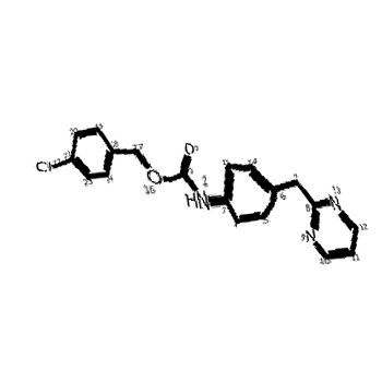 O=C(Nc1ccc(Cc2ncccn2)cc1)OCc1ccc(Cl)cc1